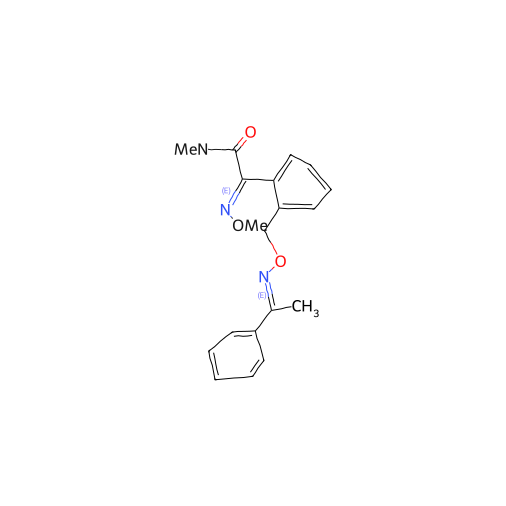 CNC(=O)/C(=N/OC)c1ccccc1CO/N=C(\C)c1ccccc1